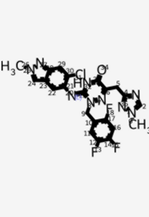 Cn1cnc(Cc2nn(Cc3cc(F)c(F)cc3F)/c(=N/c3cc4cn(C)nc4cc3Cl)[nH]c2=O)n1